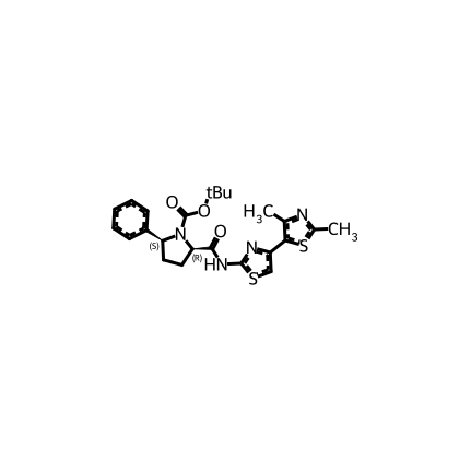 Cc1nc(C)c(-c2csc(NC(=O)[C@H]3CC[C@@H](c4ccccc4)N3C(=O)OC(C)(C)C)n2)s1